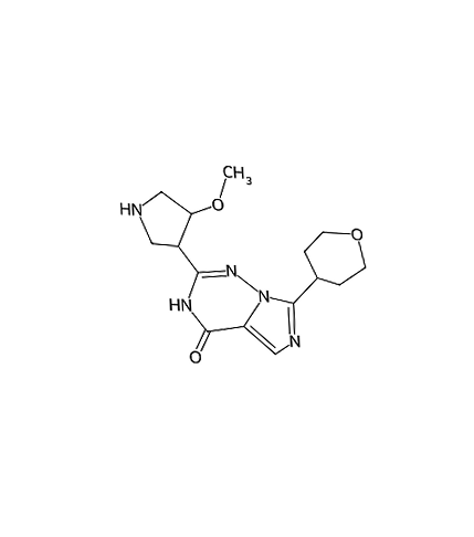 COC1CNCC1c1nn2c(C3CCOCC3)ncc2c(=O)[nH]1